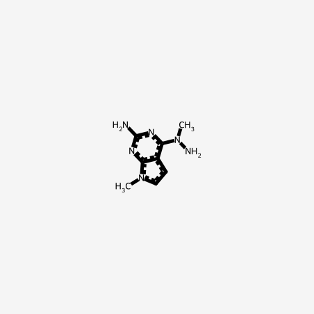 CN(N)c1nc(N)nc2c1ccn2C